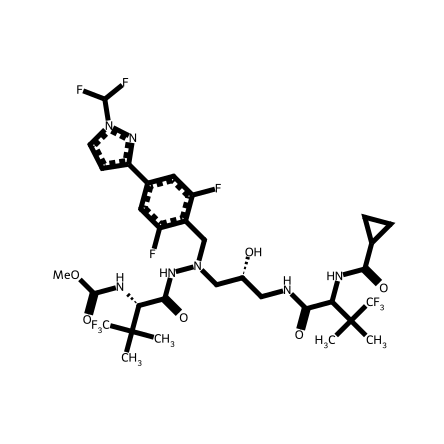 COC(=O)N[C@H](C(=O)NN(Cc1c(F)cc(-c2ccn(C(F)F)n2)cc1F)C[C@H](O)CNC(=O)C(NC(=O)C1CC1)C(C)(C)C(F)(F)F)C(C)(C)C(F)(F)F